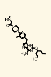 CCCC(CCO)Oc1nc(N)c2ncc(Cc3cnc(N4CCN(C(=O)CNC)CC4)c(C)c3)n2n1